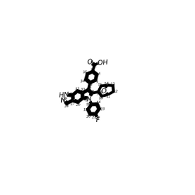 O=C(O)c1ccc(-c2c(C3CC4CCC(C3)O4)n(-c3ccc(F)cc3)c3cc4cn[nH]c4cc23)cc1